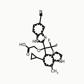 Cc1cc(C2CC2)c(C(OCC(=O)O)(c2nc3cc(C#N)ccc3[nH]2)C(F)(F)F)c2cc[nH]c12